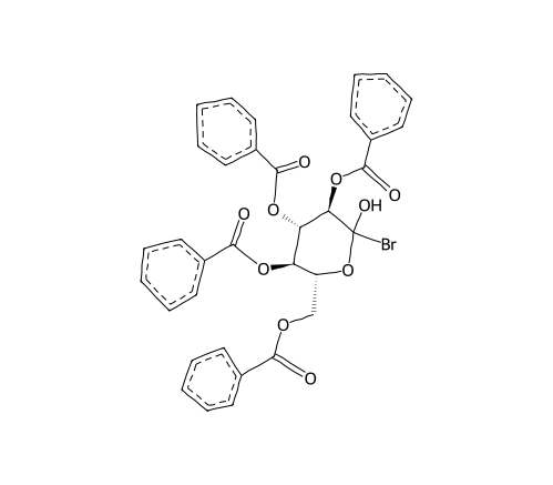 O=C(OC[C@H]1OC(O)(Br)[C@H](OC(=O)c2ccccc2)[C@@H](OC(=O)c2ccccc2)[C@@H]1OC(=O)c1ccccc1)c1ccccc1